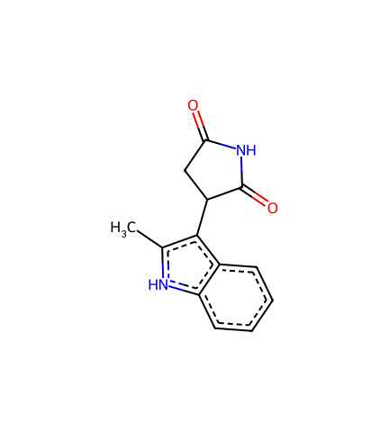 Cc1[nH]c2ccccc2c1C1CC(=O)NC1=O